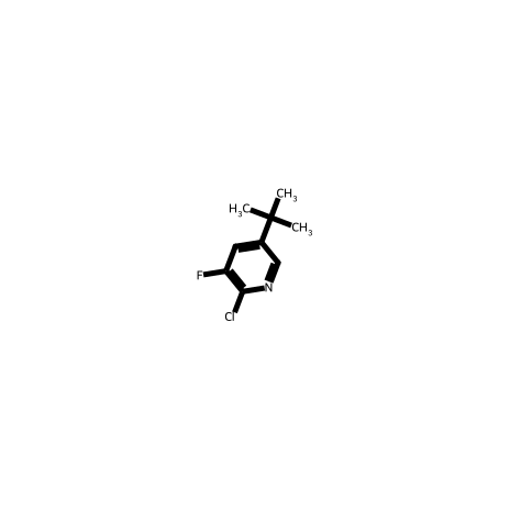 CC(C)(C)c1cnc(Cl)c(F)c1